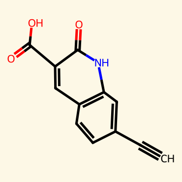 C#Cc1ccc2cc(C(=O)O)c(=O)[nH]c2c1